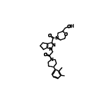 Cc1cccc(C2CCN(C(=O)Cn3nc(C(=O)N4CCOC(CO)C4)c4c3CCC4)CC2)c1C